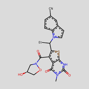 CCC(c1sc2[nH]c(=O)n(C)c(=O)c2c1C(=O)N1C[C@H](O)CO1)n1ccc2cc(C#N)ccc21